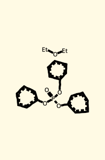 CCOCC.O=P(Oc1ccccc1)(Oc1ccccc1)Oc1ccccc1